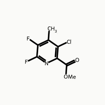 COC(=O)c1nc(F)c(F)c(C)c1Cl